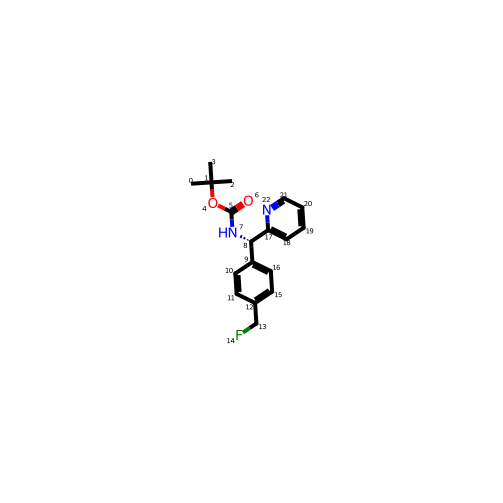 CC(C)(C)OC(=O)N[C@@H](c1ccc(CF)cc1)c1ccccn1